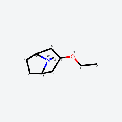 CCOC1CC2CCC(C1)N2C